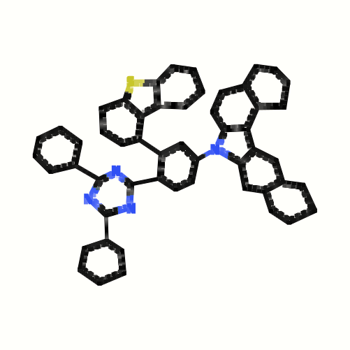 c1ccc(-c2nc(-c3ccccc3)nc(-c3ccc(-n4c5cc6ccccc6cc5c5c6ccccc6ccc54)cc3-c3cccc4sc5ccccc5c34)n2)cc1